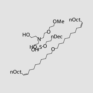 CCCCCCCC/C=C\CCCCCCCCOCCCCCCCC/C=C\CCCCCCCC.CCCCCCCCCCCCOS(=O)(=O)O.COCCOCCN(CCO)CCO